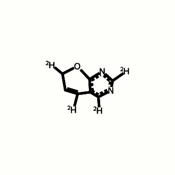 [2H]C1=CC([2H])Oc2nc([2H])nc([2H])c21